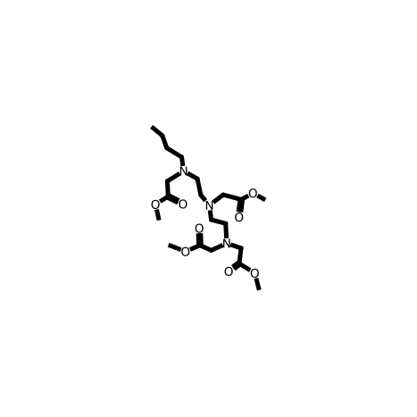 CCCCN(CCN(CCN(CC(=O)OC)CC(=O)OC)CC(=O)OC)CC(=O)OC